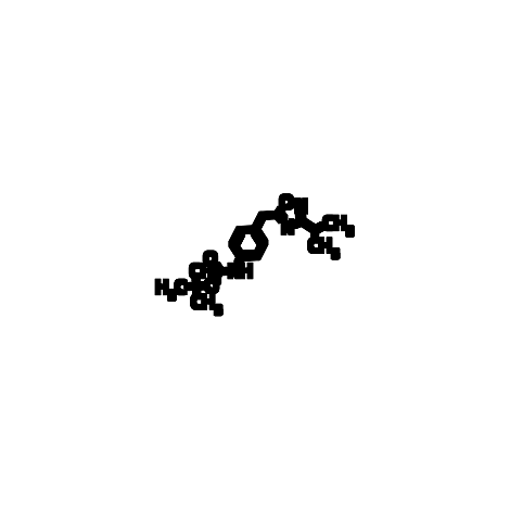 CC(C)c1noc(Cc2ccc(NC(=O)OC(C)(C)C)cc2)n1